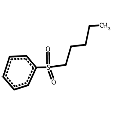 CCCCCS(=O)(=O)c1cc[c]cc1